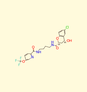 O=C(NCCCCNC(=O)[C@H]1C[C@@H](O)c2cc(Cl)ccc2O1)c1ccc(OC(F)(F)F)cn1